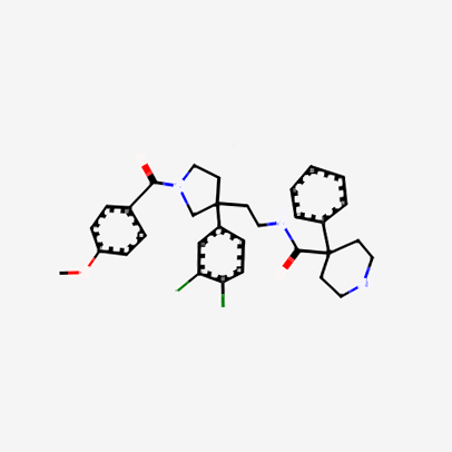 COc1ccc(C(=O)N2CCC(CCNC(=O)C3(c4ccccc4)CCNCC3)(c3ccc(Cl)c(Cl)c3)C2)cc1.Cl